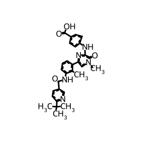 Cc1c(NC(=O)c2ccc(C(C)(C)C)nc2)cccc1-c1cn(C)c(=O)c(Nc2ccc(C(=O)O)cc2)n1